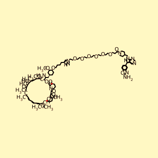 CO[C@H]1C[C@@H]2CC[C@@H](C)[C@@](O)(O2)C(=O)C(=O)N2CCCC[C@H]2C(=O)O[C@H]([C@H](N)C[C@@H]2CC[C@@H](OCCCCc3cn(CCOCCOCCOCCOCCOCCOCCC(=O)N4CCC(Cn5nc(-c6ccc7oc(N)nc7c6)c6cncnc65)CC4)nn3)[C@H](OC)C2)CC(=O)[C@H](C)/C=C(\C)[C@@H](O)[C@@H](O)C(=O)[C@H](C)C[C@H](C)/C=C/C=C/C=C/1C